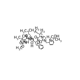 CCC(C)C(C(=O)NC(Cc1ccccc1)C(O)CN(CCC(C)C)NC(=O)C(NC(=O)OC)C(C)(C)C)N1CCN(Cc2cccc(C(C)(C)O)n2)C1=O